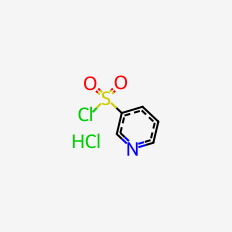 Cl.O=S(=O)(Cl)c1cccnc1